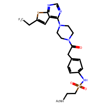 CC(=O)NCCS(=O)(=O)Nc1ccc(CC(=O)N2CCN(c3ncnc4sc(CC(F)(F)F)cc34)CC2)cc1